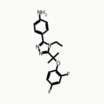 CCn1c(-c2ccc(N)cc2)nnc1C(C)(C)Oc1ccc(F)cc1F